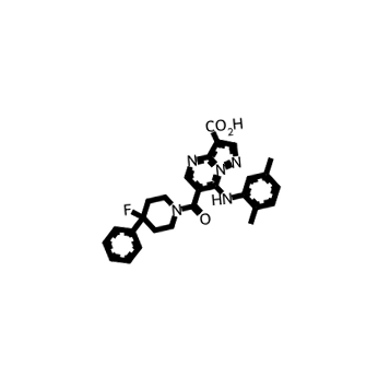 Cc1ccc(C)c(Nc2c(C(=O)N3CCC(F)(c4ccccc4)CC3)cnc3c(C(=O)O)cnn23)c1